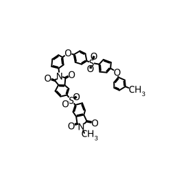 Cc1cccc(Oc2ccc(S(=O)(=O)c3ccc(Oc4cccc(N5C(=O)c6ccc(S(=O)(=O)c7ccc8c(c7)C(=O)N(C)C8=O)cc6C5=O)c4)cc3)cc2)c1